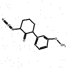 COc1cccc(C2CCCC(N=[N+]=[N-])C2=O)c1